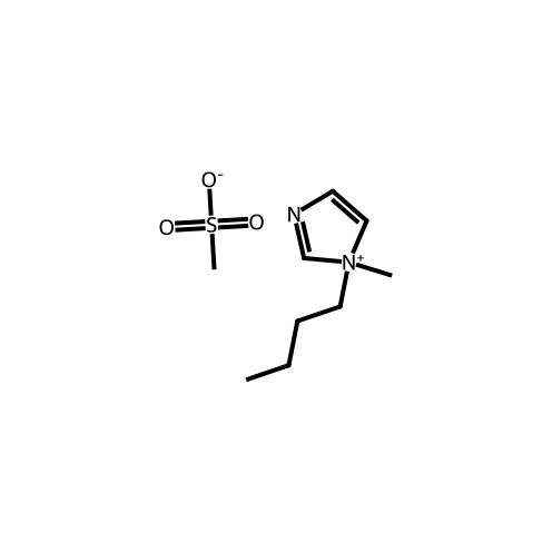 CCCC[N+]1(C)C=CN=C1.CS(=O)(=O)[O-]